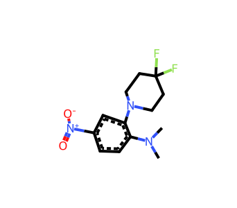 CN(C)c1ccc([N+](=O)[O-])cc1N1CCC(F)(F)CC1